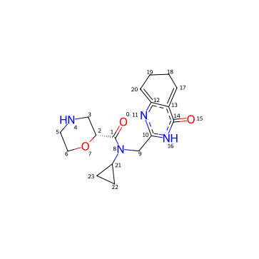 O=C([C@H]1CNCCO1)N(Cc1nc2c(c(=O)[nH]1)=CCCC=2)C1CC1